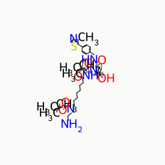 Cc1ncsc1-c1ccc(CNC(=O)[C@@H]2C[C@@H](O)CN2C(=O)[C@@H](NC(=O)CCCCCCCN(CCCN)C(=O)OC(C)(C)C)C(C)(C)C)cc1